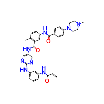 C=CC(=O)Nc1cccc(Nc2ncc(NC(=O)c3cc(NC(=O)c4ccc(N5CCN(C)CC5)cc4)ccc3C)cn2)c1